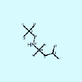 CC(C)CC(C)(C)NCC(C)(C)C